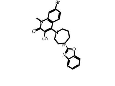 Cn1c(=O)c(C#N)c(N2CCC[C@H](c3nc4ccccc4o3)CC2)c2ccc(Br)cc21